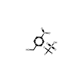 O=S(=O)(O)C(F)(F)F.O=[N+]([O-])c1ccc(CO)cc1